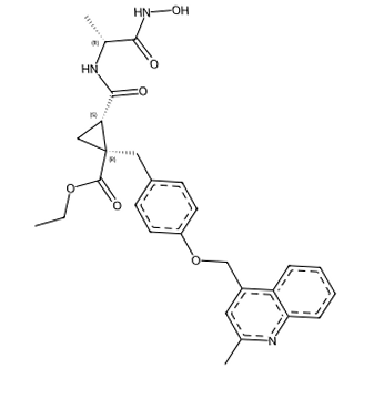 CCOC(=O)[C@@]1(Cc2ccc(OCc3cc(C)nc4ccccc34)cc2)C[C@@H]1C(=O)N[C@H](C)C(=O)NO